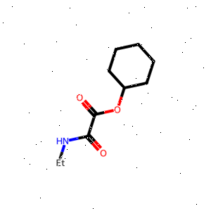 CCNC(=O)C(=O)OC1CCCCC1